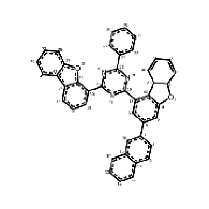 C1=CC2Oc3cc(-c4ccc5ccccc5c4)cc(-c4nc(-c5ccccc5)nc(-c5cccc6c5oc5ccccc56)n4)c3C2C=C1